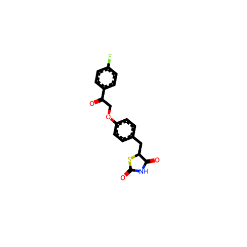 O=C1NC(=O)C(Cc2ccc(OCC(=O)c3ccc(F)cc3)cc2)S1